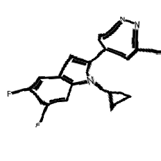 Cc1cc(-c2cc3cc(F)c(F)cc3n2C2CC2)cnn1